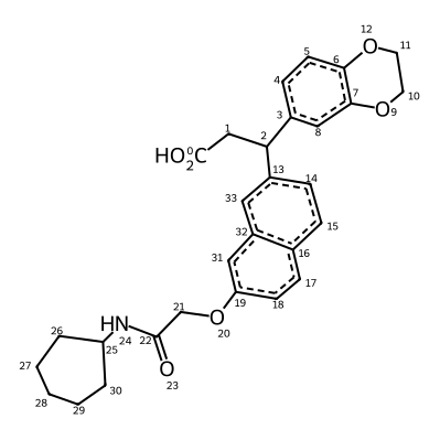 O=C(O)CC(c1ccc2c(c1)OCCO2)c1ccc2ccc(OCC(=O)NC3CCCCC3)cc2c1